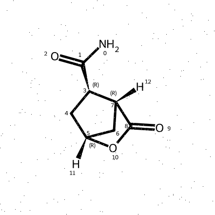 NC(=O)[C@@H]1C[C@@H]2C[C@H]1C(=O)O2